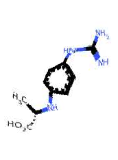 C[C@H](Nc1ccc(NC(=N)N)cc1)C(=O)O